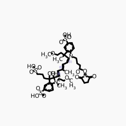 COCCC1(C)\C(=C/C=C(C)/C=C/C2(C)C(C)(CCCS(=O)(=O)O)c3cc(S(=O)(=O)O)ccc3[N+]2(C)CCOC)N(CCCC(=O)ON2C(=O)CCC2=O)c2ccc(S(=O)(=O)O)cc21